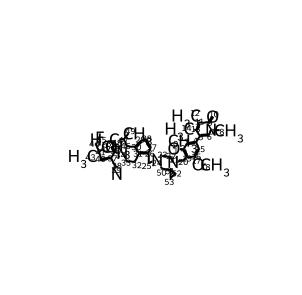 COc1cc(-c2cn(C)c(=O)c(C)c2C)cc(OC)c1CN1CCN(Cc2cccc3c2CCN(C(=O)/C(C#N)=C\C(C)(C)CF)C3C(C)C)CC12CC2